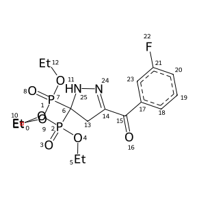 CCOP(=O)(OCC)C1(P(=O)(OCC)OCC)CC(C(=O)c2cccc(F)c2)=NN1